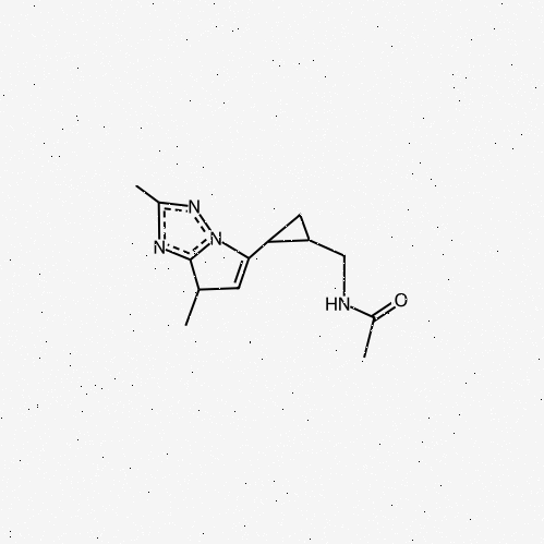 CC(=O)NCC1CC1C1=CC(C)c2nc(C)nn21